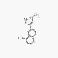 CN/C=C(\C=N)c1ccc2nccc(O)c2n1